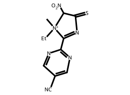 CC[N+]1(C)C(c2ncc(C#N)cn2)=NC(=S)C1[N+](=O)[O-]